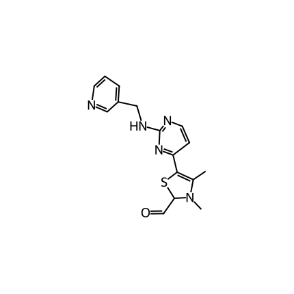 CC1=C(c2ccnc(NCc3cccnc3)n2)SC(C=O)N1C